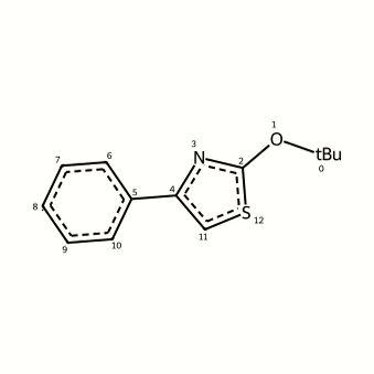 CC(C)(C)Oc1nc(-c2cc[c]cc2)cs1